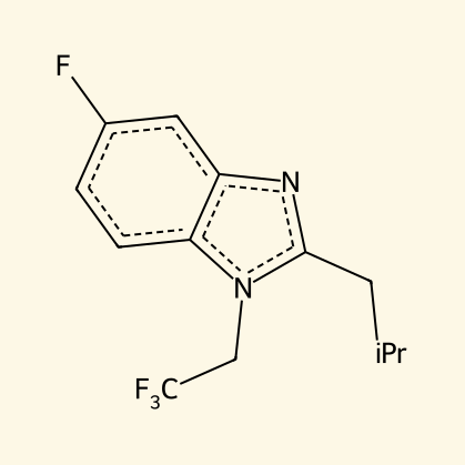 CC(C)Cc1nc2cc(F)ccc2n1CC(F)(F)F